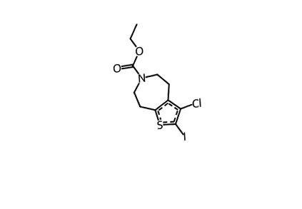 CCOC(=O)N1CCc2sc(I)c(Cl)c2CC1